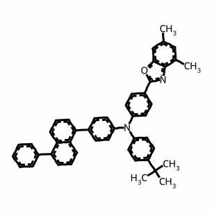 Cc1cc(C)c2nc(-c3ccc(N(c4ccc(-c5cccc6c(-c7ccccc7)cccc56)cc4)c4ccc(C(C)(C)C)cc4)cc3)oc2c1